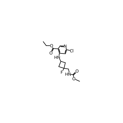 CCOC(=O)c1cnc(Cl)cc1NC1CC(F)(CNC(=O)OC)C1